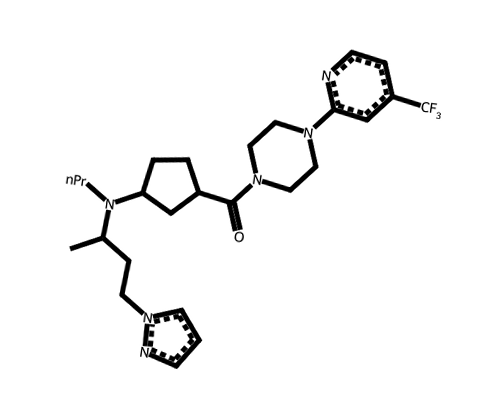 CCCN(C(C)CCn1cccn1)C1CCC(C(=O)N2CCN(c3cc(C(F)(F)F)ccn3)CC2)C1